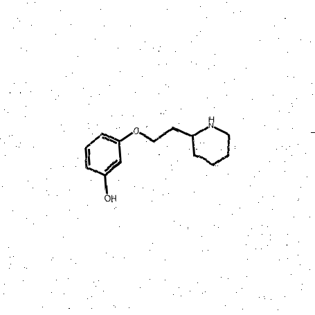 Oc1cccc(OCCC2CCCCN2)c1